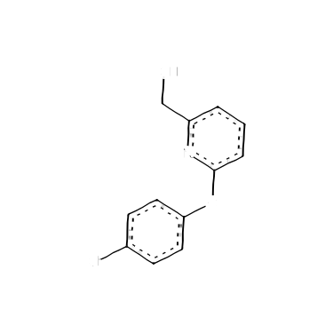 C[CH]c1cccc(Oc2ccc(Cl)cc2)n1